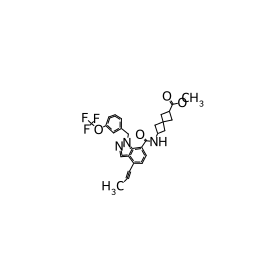 CC#Cc1ccc(C(=O)NC2CC3(C2)CC(C(=O)OC)C3)c2c1cnn2Cc1cccc(OC(F)(F)F)c1